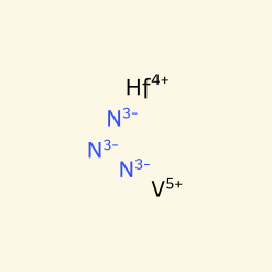 [Hf+4].[N-3].[N-3].[N-3].[V+5]